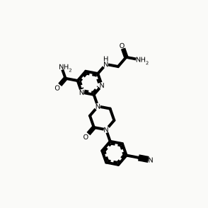 N#Cc1cccc(N2CCN(c3nc(NCC(N)=O)cc(C(N)=O)n3)CC2=O)c1